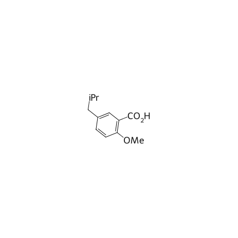 COc1ccc(CC(C)C)cc1C(=O)O